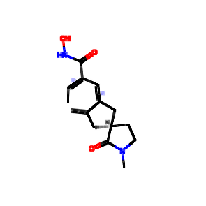 C=C1C[C@@]2(CCN(C)C2=O)C/C1=C/C(=C\C)C(=O)NO